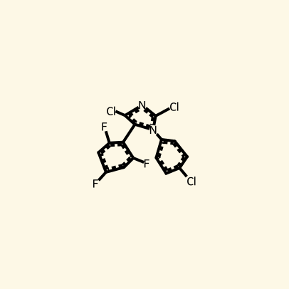 Fc1cc(F)c(-c2c(Cl)nc(Cl)n2-c2ccc(Cl)cc2)c(F)c1